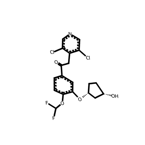 O=C(Cc1c(Cl)cncc1Cl)c1ccc(OC(F)F)c(O[C@@H]2CC[C@H](O)C2)c1